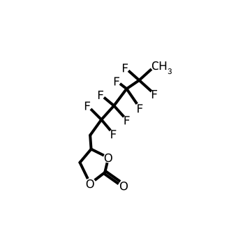 CC(F)(F)C(F)(F)C(F)(F)C(F)(F)CC1COC(=O)O1